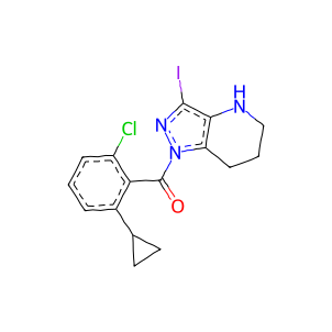 O=C(c1c(Cl)cccc1C1CC1)n1nc(I)c2c1CCCN2